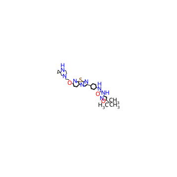 CC(C)(C)c1cc(NC(=O)Nc2ccc(-c3cn4c(n3)sc3nc(OCCN5CCNC6(CC6)C5)ccc34)cc2)no1